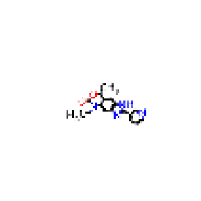 CCN1C(=O)OC(C)c2cc3[nH]c(-c4cccnc4)nc3cc21